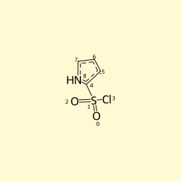 O=S(=O)(Cl)c1[c]cc[nH]1